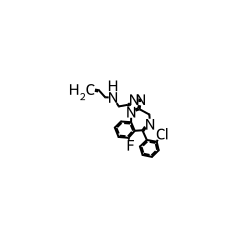 C=CCNCc1nnc2n1-c1cccc(F)c1C(c1ccccc1Cl)=NC2